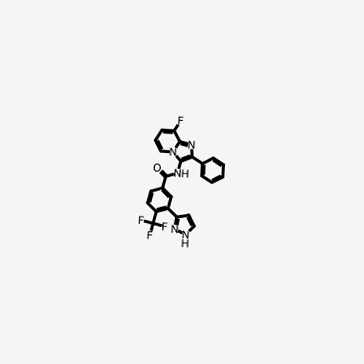 O=C(Nc1c(-c2ccccc2)nc2c(F)cccn12)c1ccc(C(F)(F)F)c(-c2cc[nH]n2)c1